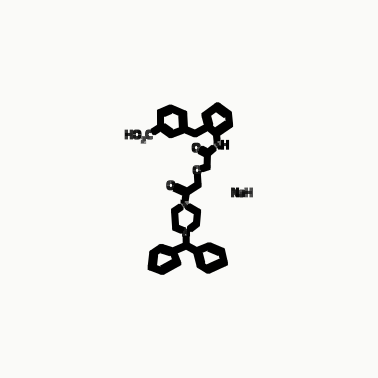 O=C(COCC(=O)N1CCN(C(c2ccccc2)c2ccccc2)CC1)Nc1ccccc1Cc1cccc(C(=O)O)c1.[NaH]